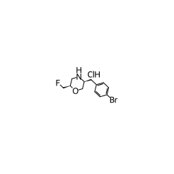 Cl.FC[C@H]1CN[C@@H](Cc2ccc(Br)cc2)CO1